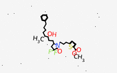 COC(=O)c1ccc(CCCN2C(=O)C(F)(F)CC2CC[C@@H](O)[C@H](C)CCCCc2ccccc2)s1